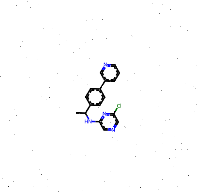 CC(Nc1cncc(Cl)n1)c1ccc(-c2cccnc2)cc1